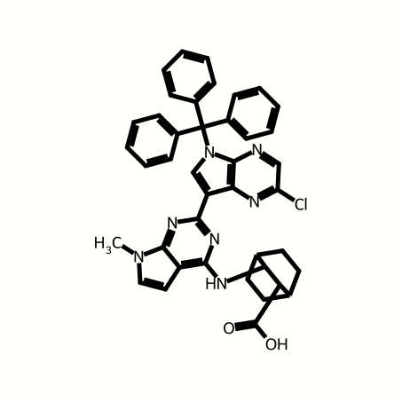 Cn1ccc2c(NC3C4CCC(CC4)C3C(=O)O)nc(-c3cn(C(c4ccccc4)(c4ccccc4)c4ccccc4)c4ncc(Cl)nc34)nc21